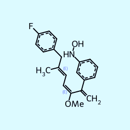 C=C(/C(=C\C=C(/C)Cc1ccc(F)cc1)OC)c1cccc(NO)c1